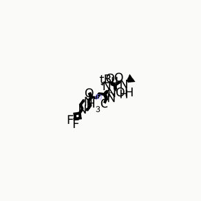 Cc1nn2c(O)c(C(=O)NC3CC3)c(=O)n(CC(C)(C)C)c2c1/C=C/C(=O)N1CCN(C2CC(F)(F)C2)CC1